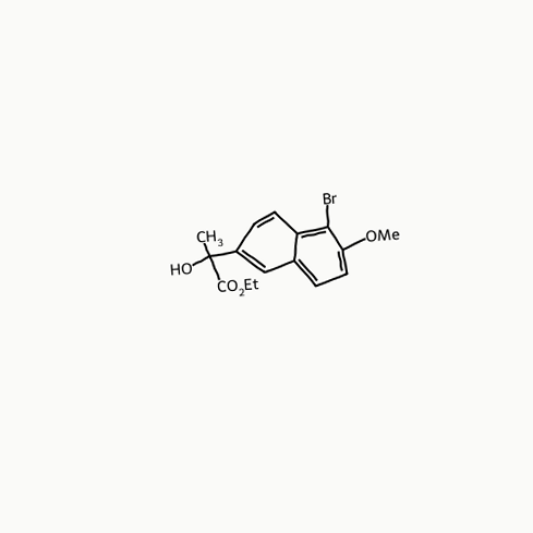 CCOC(=O)C(C)(O)c1ccc2c(Br)c(OC)ccc2c1